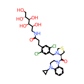 O=C(CCc1cc(Cl)c(CN2CSC[C@H]2C(=O)N2CCN(C3CC3)c3ccccc32)cc1Cl)NC[C@H](O)[C@@H](O)[C@H](O)[C@H](O)CO